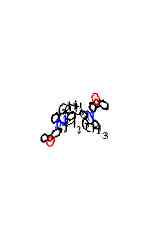 CC1(C)c2ccccc2N(c2ccc3oc4ccccc4c3c2)c2ccc(-c3ccc4c(c3)C(C)(C)c3ccccc3N4c3ccc4oc5ccccc5c4c3)cc21